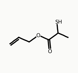 C=CCOC(=O)C(C)S